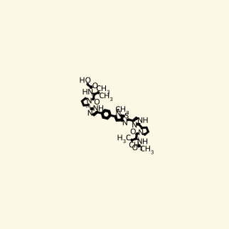 CC(=O)N[C@H](C(=O)N1CCCC1c1nc(-c2nc3cc(-c4ccc(-c5cnc([C@@H]6CCCN6C(=O)[C@@H](NC(=O)CO)C(C)C)[nH]5)cc4)n(C)c3s2)c[nH]1)C(C)C